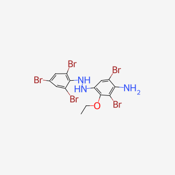 CCOc1c(NNc2c(Br)cc(Br)cc2Br)cc(Br)c(N)c1Br